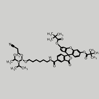 CC(C)N(C(C)C)P(OCCC#N)OCCCCCCNC(=O)c1ccc2c(c1)C(=O)OC21c2ccc(OC(=O)C(C)(C)C)cc2Oc2cc(OC(=O)C(C)(C)C)ccc21